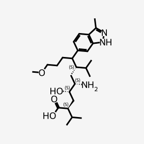 COCCCC(c1ccc2c(C)n[nH]c2c1)[C@@H](C[C@H](N)[C@@H](O)C[C@H](C(=O)O)C(C)C)C(C)C